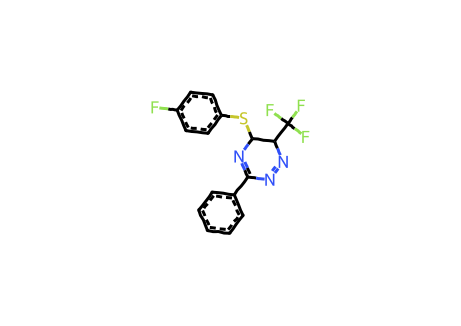 Fc1ccc(SC2N=C(c3ccccc3)N=NC2C(F)(F)F)cc1